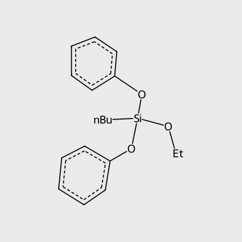 CCCC[Si](OCC)(Oc1ccccc1)Oc1ccccc1